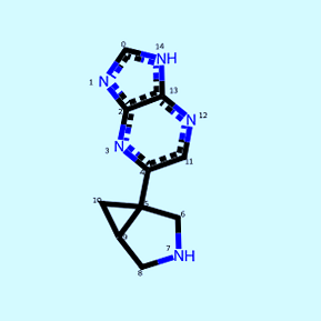 c1nc2nc(C34CNCC3C4)cnc2[nH]1